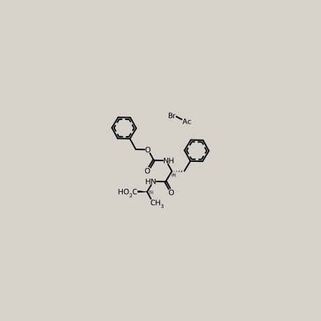 CC(=O)Br.C[C@H](NC(=O)[C@@H](Cc1ccccc1)NC(=O)OCc1ccccc1)C(=O)O